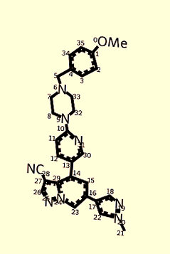 COc1ccc(CN2CCN(c3ccc(-c4cc(-c5cnn(C)c5)cn5ncc(C#N)c45)cn3)CC2)cc1